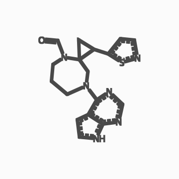 O=CN1CCCN(c2ncnc3[nH]ccc23)CC12CC2c1ccns1